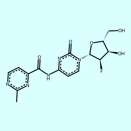 Cc1nccc(C(=O)Nc2ccn([C@@H]3O[C@H](CO)[C@@H](O)[C@H]3F)c(=O)n2)n1